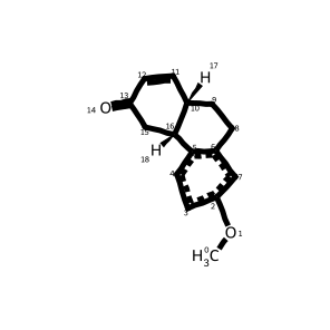 COc1ccc2c(c1)CC[C@H]1C=CC(=O)C[C@@H]21